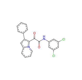 O=C(Nc1cc(Cl)cc(Cl)c1)C(=O)c1c(-c2ccccc2)cc2ccccn12